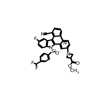 COC(=O)C1CN(c2cccc(-c3c(-c4c(C#N)cccc4C#N)c4cc(F)ccc4n3[S+]([O-])c3ccc(C(F)F)cc3)c2)C1